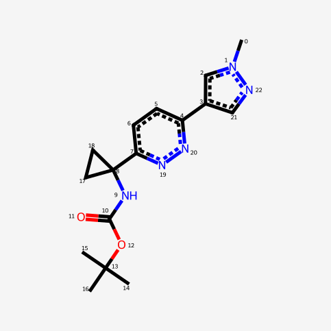 Cn1cc(-c2ccc(C3(NC(=O)OC(C)(C)C)CC3)nn2)cn1